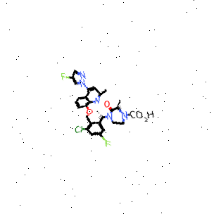 Cc1cc(-n2cc(F)cn2)c2cccc(OCc3c(Cl)cc(F)cc3[C@H](C)N3CCN(C(=O)O)[C@H](C)C3=O)c2n1